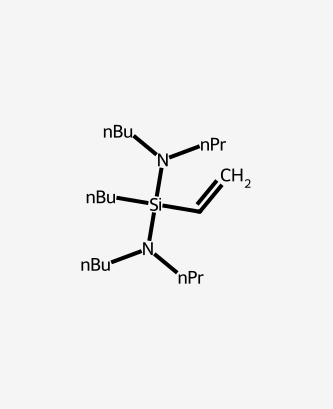 C=C[Si](CCCC)(N(CCC)CCCC)N(CCC)CCCC